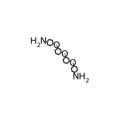 Nc1ccc(Oc2cccc(Oc3cccc(Oc4ccc(N)cc4)c3)c2)cc1